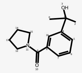 CC(C)(O)c1cccc(C(=O)N2CCCC2)c1